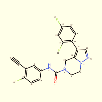 C#Cc1cc(NC(=O)N2CCn3ncc(-c4ccc(F)cc4F)c3C2)ccc1F